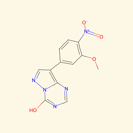 COc1cc(-c2cnn3c(O)ncnc23)ccc1[N+](=O)[O-]